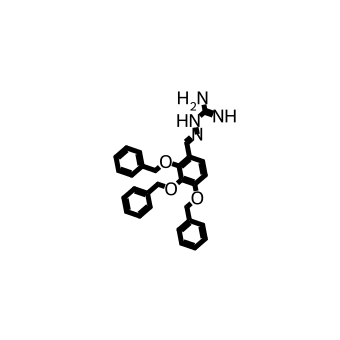 N=C(N)NN=Cc1ccc(OCc2ccccc2)c(OCc2ccccc2)c1OCc1ccccc1